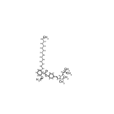 C=C[C@@](C)(/C=C/c1ccc(OC(=O)c2c(CCCCCCCCCCCCCCC)cccc2OC)cc1)CCC=C(C)C